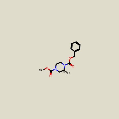 CC[C@H]1CN(C(=O)OC(C)(C)C)CCN1C(=O)OCc1ccccc1